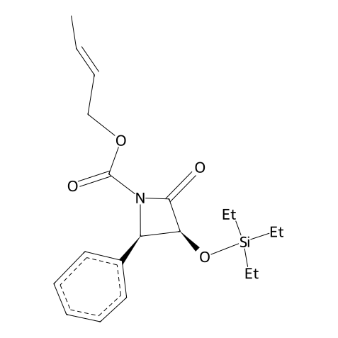 CC=CCOC(=O)N1C(=O)[C@@H](O[Si](CC)(CC)CC)[C@H]1c1ccccc1